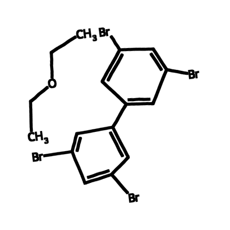 Brc1cc(Br)cc(-c2cc(Br)cc(Br)c2)c1.CCOCC